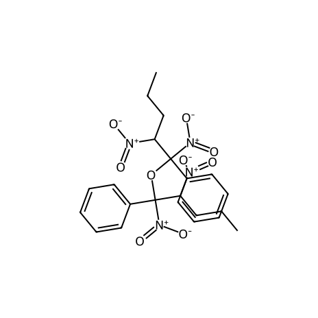 CCCC([N+](=O)[O-])C(OC(c1ccccc1)(C(CCC)[N+](=O)[O-])[N+](=O)[O-])(c1ccccc1)[N+](=O)[O-]